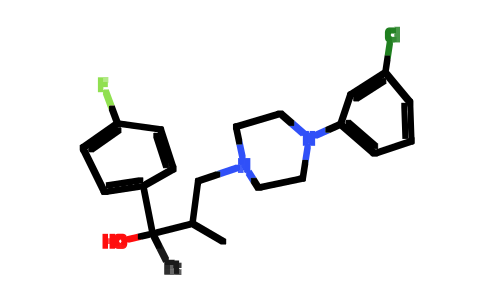 CCC(O)(c1ccc(F)cc1)C(C)CN1CCN(c2cccc(Cl)c2)CC1